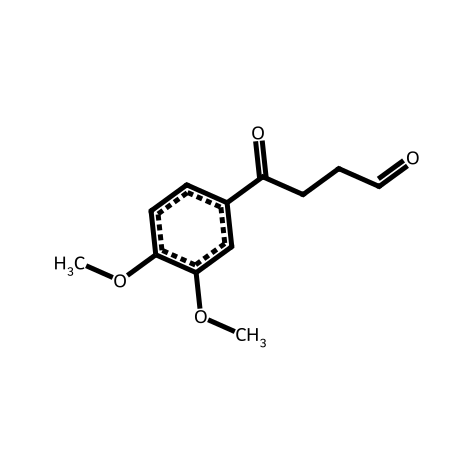 COc1ccc(C(=O)CCC=O)cc1OC